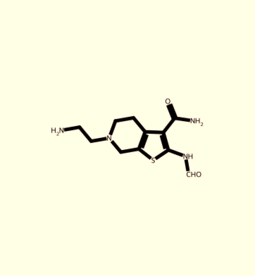 NCCN1CCc2c(sc(NC=O)c2C(N)=O)C1